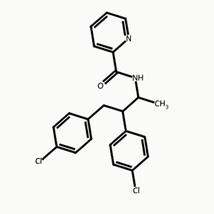 CC(NC(=O)c1ccccn1)C(Cc1ccc(Cl)cc1)c1ccc(Cl)cc1